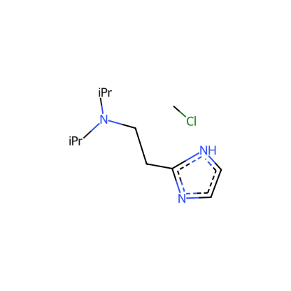 CC(C)N(CCc1ncc[nH]1)C(C)C.CCl